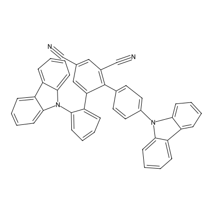 N#Cc1cc(C#N)c(-c2ccc(-n3c4ccccc4c4ccccc43)cc2)c(-c2ccccc2-n2c3ccccc3c3ccccc32)c1